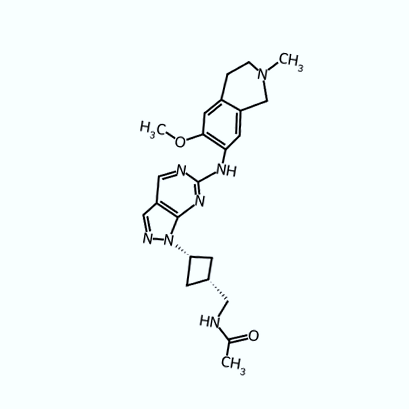 COc1cc2c(cc1Nc1ncc3cnn([C@H]4C[C@@H](CNC(C)=O)C4)c3n1)CN(C)CC2